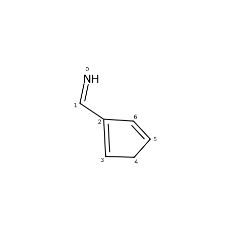 N=CC1=CCC=C1